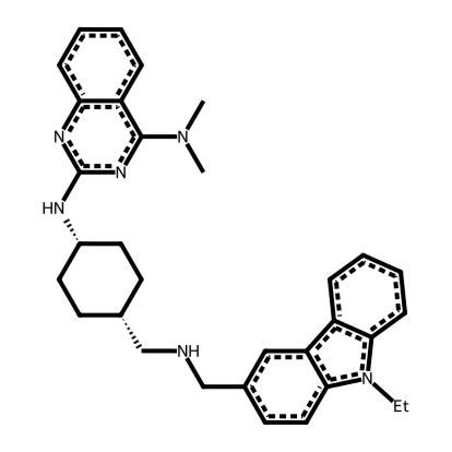 CCn1c2ccccc2c2cc(CNC[C@H]3CC[C@@H](Nc4nc(N(C)C)c5ccccc5n4)CC3)ccc21